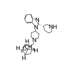 CC1(C)[C@H]2CC[C@@H](CN3CCC(n4c([C@H]5CCCNC5)nc5ccccc54)CC3)[C@@H]1C2